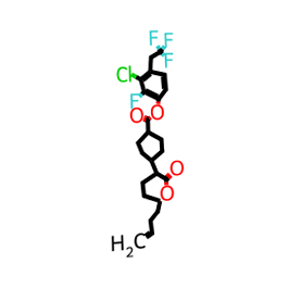 C=CCCC1CCC(C2CCC(C(=O)Oc3ccc(CC(F)(F)F)c(Cl)c3F)CC2)C(=O)O1